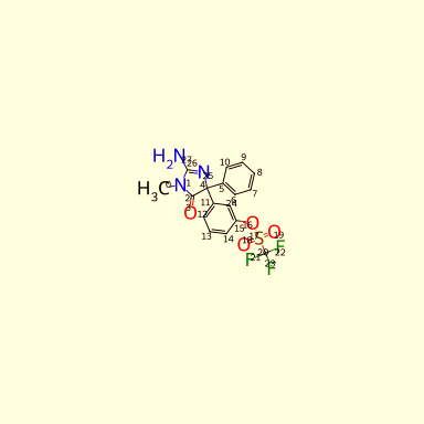 CN1C(=O)C(c2ccccc2)(c2cccc(OS(=O)(=O)C(F)(F)F)c2)N=C1N